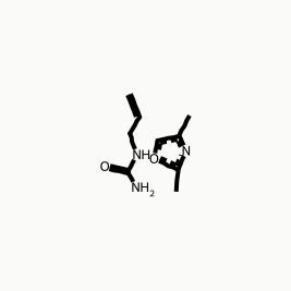 C=CCNC(N)=O.Cc1coc(C)n1